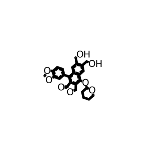 O=C1OCc2c1c(-c1ccc3c(c1)OCO3)c1cc(CO)c(CO)cc1c2OC1CCCCO1